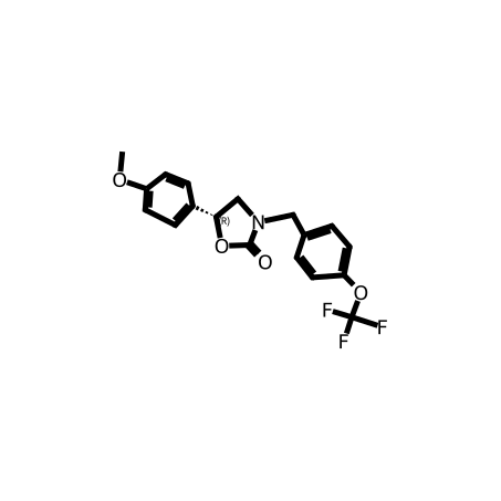 COc1ccc([C@@H]2CN(Cc3ccc(OC(F)(F)F)cc3)C(=O)O2)cc1